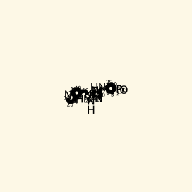 CP(C)(=O)c1ccc(Nc2cnc3c(n2)N(Cc2ccc4ncccc4c2)NN3)cc1